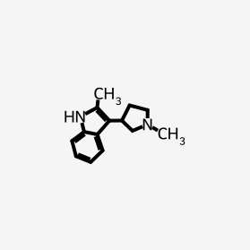 Cc1[nH]c2ccccc2c1C1CCN(C)C1